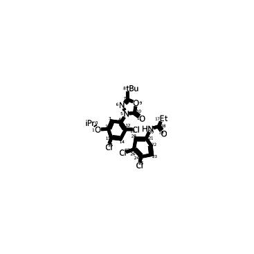 CC(C)Oc1cc(-n2nc(C(C)(C)C)oc2=O)c(Cl)cc1Cl.CCC(=O)Nc1ccc(Cl)c(Cl)c1